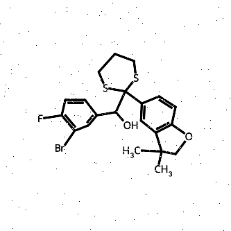 CC1(C)COc2ccc(C3(C(O)c4ccc(F)c(Br)c4)SCCCS3)cc21